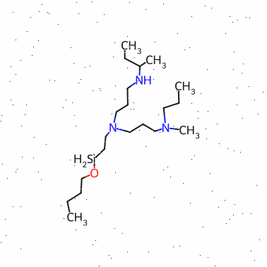 CCCCO[SiH2]CCN(CCCNC(C)CC)CCCN(C)CCC